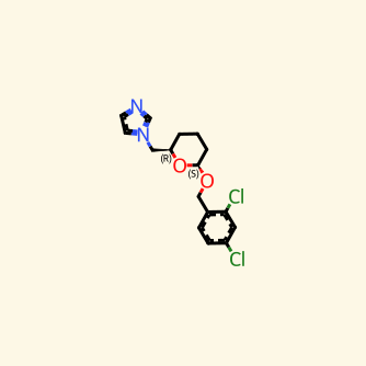 Clc1ccc(CO[C@@H]2CCC[C@H](Cn3ccnc3)O2)c(Cl)c1